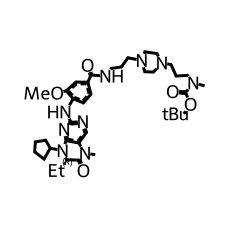 CC[C@@H]1C(=O)N(C)c2cnc(Nc3ccc(C(=O)NCCCN4CCN(CCCN(C)C(=O)OC(C)(C)C)CC4)cc3OC)nc2N1C1CCCC1